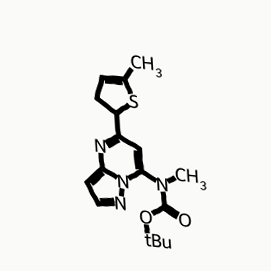 CC1=CCC(c2cc(N(C)C(=O)OC(C)(C)C)n3nccc3n2)S1